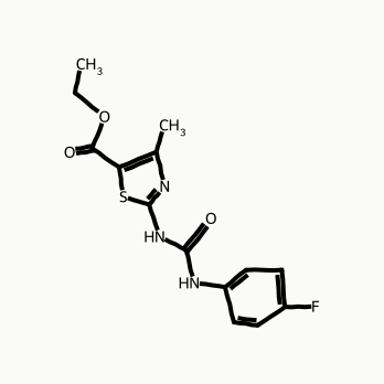 CCOC(=O)c1sc(NC(=O)Nc2ccc(F)cc2)nc1C